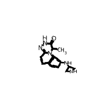 CC1C(=O)NN=C2CCc3ccc(NC4CNC4)cc3N21